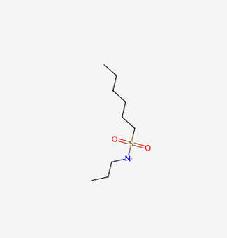 CCCCCCS(=O)(=O)[N]CCC